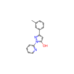 Cc1cccc(-c2cc(O)n(-c3ccccn3)n2)c1